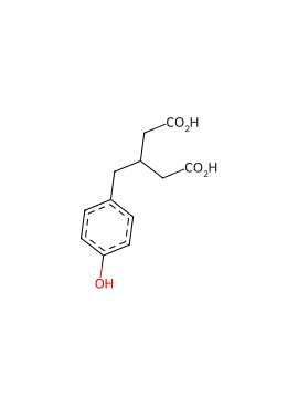 O=C(O)CC(CC(=O)O)Cc1ccc(O)cc1